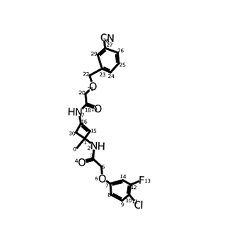 CC1(NC(=O)COc2ccc(Cl)c(F)c2)C=C(NC(=O)COCc2cccc(C#N)c2)C1